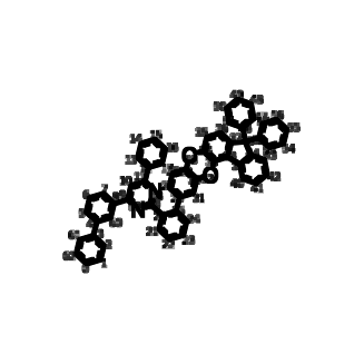 c1ccc(-c2cccc(-c3cc(-c4ccccc4)nc(-c4ccccc4-c4ccc5c(c4)Oc4c(ccc6c4-c4ccccc4C6(c4ccccc4)c4ccccc4)O5)n3)c2)cc1